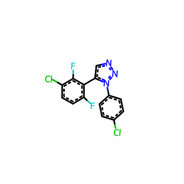 Fc1ccc(Cl)c(F)c1-c1cnnn1-c1ccc(Cl)cc1